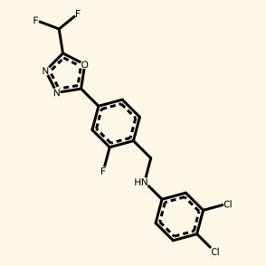 Fc1cc(-c2nnc(C(F)F)o2)ccc1CNc1ccc(Cl)c(Cl)c1